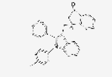 Cc1ccc(-n2c(-c3ccccc3)c(C[C@@]3(C)CC(=O)c4ccccc43)c3ccccc32)cc1